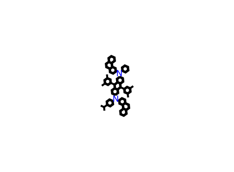 Cc1cc(C)cc(-c2c3ccc(N(c4ccc(C(C)C)cc4)c4ccc5ccc6ccccc6c5c4)cc3c(-c3cc(C)cc(C)c3)c3ccc(N(c4ccccc4)c4ccc5ccc6ccccc6c5c4)cc23)c1